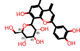 C=C1C=C(c2ccc(O)c(O)c2)Oc2c1c(C)cc(O)c2C1O[C@H](CO)[C@@H](O)[C@H](O)[C@H]1O